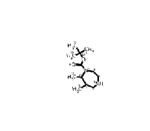 CC1CNCCN(C(=O)OC(C)(C)C)C1C